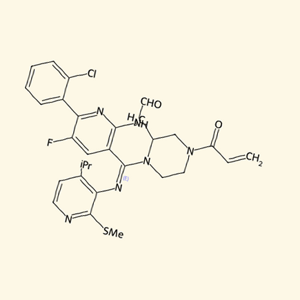 C=CC(=O)N1CCN(/C(=N/c2c(C(C)C)ccnc2SC)c2cc(F)c(-c3ccccc3Cl)nc2NC=O)C(C)C1